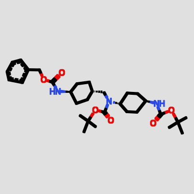 CC(C)(C)OC(=O)N[C@H]1CC[C@H](N(C[C@H]2CC[C@H](NC(=O)OCc3ccccc3)CC2)C(=O)OC(C)(C)C)CC1